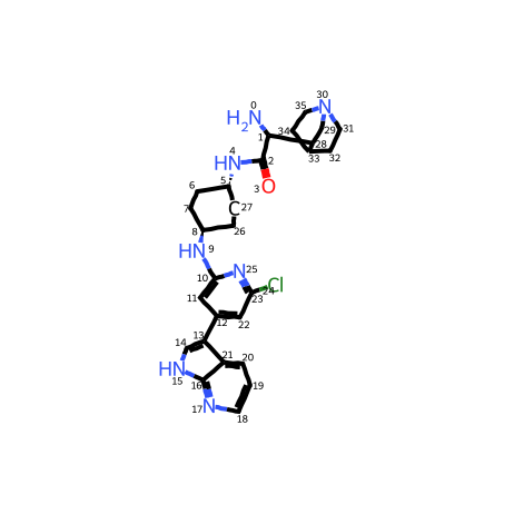 NC(C(=O)N[C@H]1CC[C@H](Nc2cc(-c3c[nH]c4ncccc34)cc(Cl)n2)CC1)C1CN2CCC1CC2